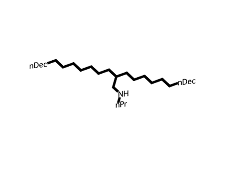 CCCCCCCCCCCCCCCCCC(CCCCCCCCCCCCCCCC)CNCCC